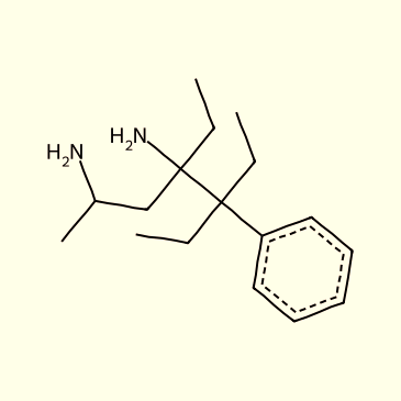 CCC(N)(CC(C)N)C(CC)(CC)c1ccccc1